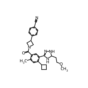 COCCC1NN=C(c2cc(C(=O)N3CC(c4ccc(C#N)cc4)C3)c(C)cc2C2CCC2)N1